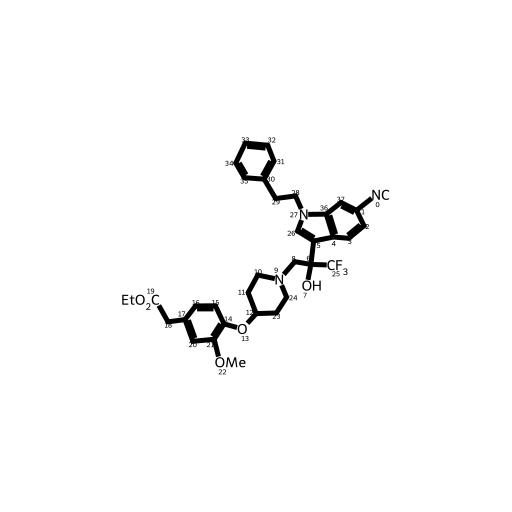 [C-]#[N+]c1ccc2c(C(O)(CN3CCC(Oc4ccc(CC(=O)OCC)cc4OC)CC3)C(F)(F)F)cn(CCc3ccccc3)c2c1